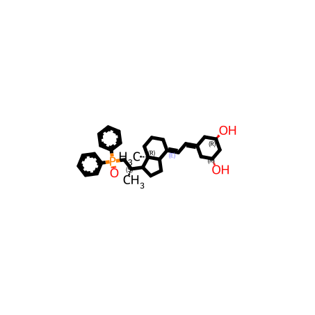 C[C@H](CP(=O)(c1ccccc1)c1ccccc1)C1CCC2/C(=C/C=C3C[C@@H](O)C[C@H](O)C3)CCC[C@@]21C